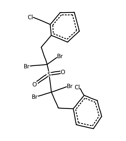 O=S(=O)(C(Br)(Br)Cc1ccccc1Cl)C(Br)(Br)Cc1ccccc1Cl